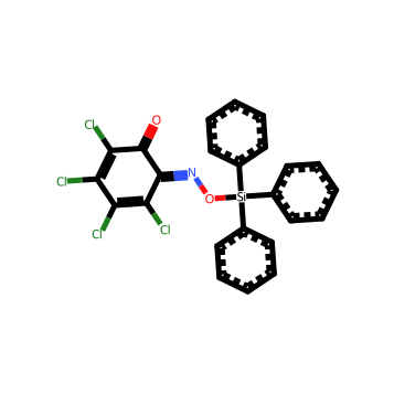 O=C1C(=NO[Si](c2ccccc2)(c2ccccc2)c2ccccc2)C(Cl)=C(Cl)C(Cl)=C1Cl